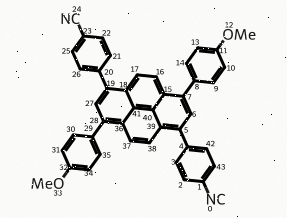 [C-]#[N+]c1ccc(-c2cc(-c3ccc(OC)cc3)c3ccc4c(-c5ccc(C#N)cc5)cc(-c5ccc(OC)cc5)c5ccc2c3c45)cc1